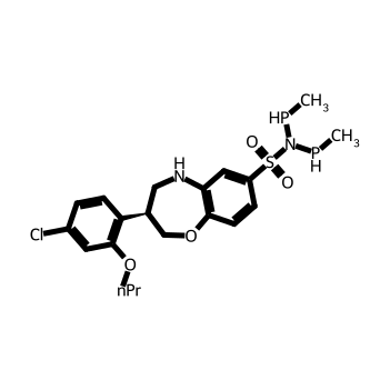 CCCOc1cc(Cl)ccc1[C@H]1CNc2cc(S(=O)(=O)N(PC)PC)ccc2OC1